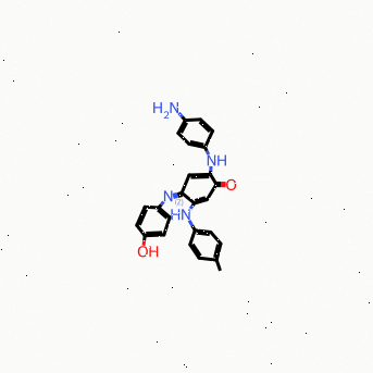 Cc1ccc(NC2=CC(=O)C(Nc3ccc(N)cc3)=C/C2=N/c2ccc(O)cc2)cc1